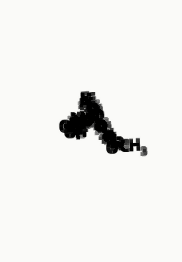 CCOC(=O)N1CCC(c2ccc(COc3ccc(C(F)(F)F)cc3-c3cccc(-n4ncc(C(=O)O)c4C(F)(F)F)n3)cc2)CC1